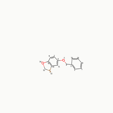 c1ccc(COc2ccc3c(c2)SCO3)cc1